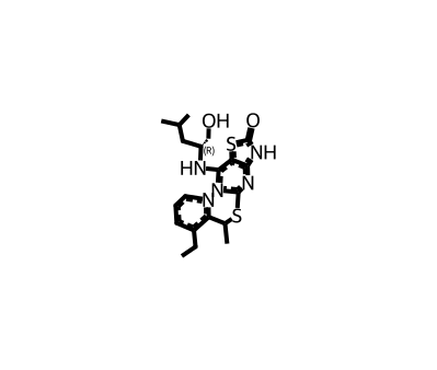 CCc1cccnc1C(C)Sc1nc(N[C@@H](CO)CC(C)C)c2sc(=O)[nH]c2n1